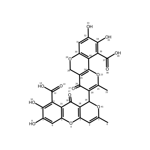 CC1=Cc2oc3cc(O)c(O)c(C(=O)O)c3c(=O)c2C(c2c(C)oc3c(c2=O)COc2cc(O)c(O)c(C(=O)O)c2-3)O1